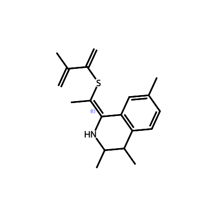 C=C(C)C(=C)S/C(C)=C1/NC(C)C(C)c2ccc(C)cc21